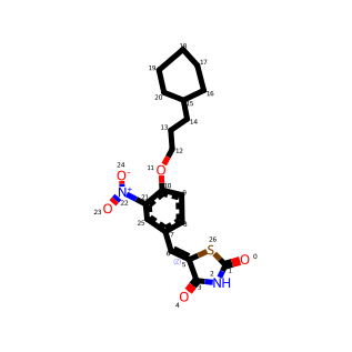 O=C1NC(=O)/C(=C/c2ccc(OCCCC3CCCCC3)c([N+](=O)[O-])c2)S1